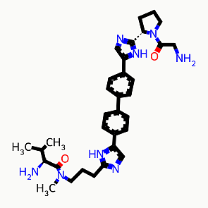 CC(C)[C@H](N)C(=O)N(C)CCCc1ncc(-c2ccc(-c3ccc(-c4cnc([C@@H]5CCCN5C(=O)CN)[nH]4)cc3)cc2)[nH]1